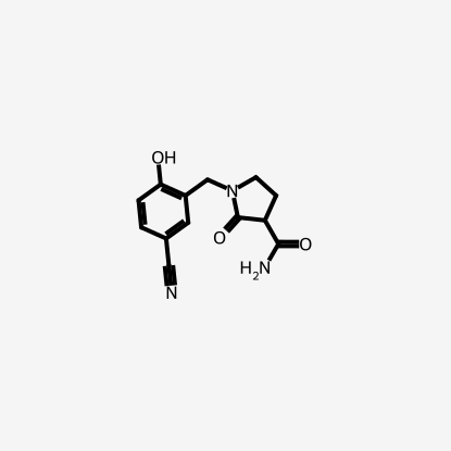 N#Cc1ccc(O)c(CN2CCC(C(N)=O)C2=O)c1